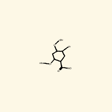 CCCCOC1CC(OCCCC)C(C(C)C)CC1C(=O)N=O